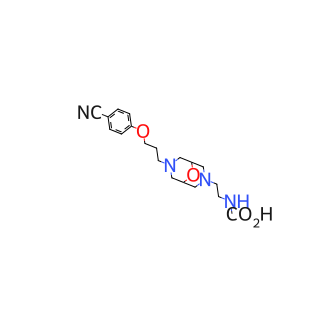 N#Cc1ccc(OCCCN2CC3CN(CCNC(=O)O)CC(C2)O3)cc1